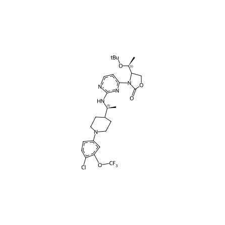 C[C@H](Nc1nccc(N2C(=O)OCC2[C@H](C)OC(C)(C)C)n1)C1CCN(c2ccc(Cl)c(OC(F)(F)F)c2)CC1